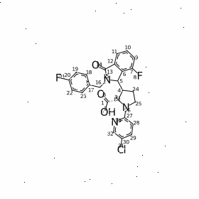 O=C(O)[C@@H]1C(C2c3c(F)cccc3C(=O)N2Cc2ccc(F)cc2)CCN1c1ccc(Cl)cn1